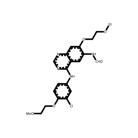 CCOCCOc1cc2ncnc(Nc3ccc(OCCOC)c(Cl)c3)c2cc1NC=O